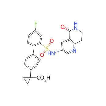 O=C1NCCc2ncc(NS(=O)(=O)c3cc(F)ccc3-c3ccc(C4(C(=O)O)CC4)cc3)cc21